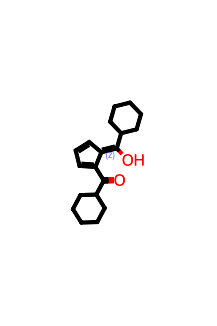 O=C(C1=CC=C/C1=C(/O)C1CCCCC1)C1CCCCC1